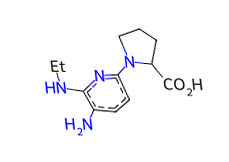 CCNc1nc(N2CCCC2C(=O)O)ccc1N